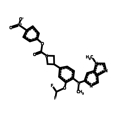 CN(c1cc2c(cn1)ncn2C)c1ccc(C2CN(C(=O)Oc3ccc([N+](=O)[O-])cc3)C2)cc1OC(F)F